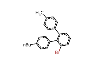 CCCCc1ccc(-c2c(Br)cccc2-c2ccc(C)cc2)cc1